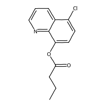 CCCC(=O)Oc1ccc(Cl)c2cccnc12